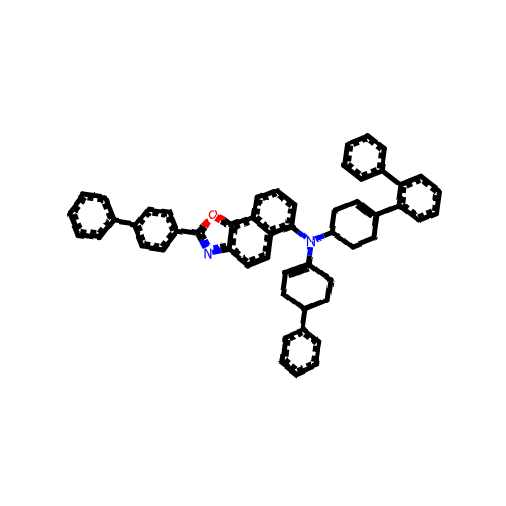 C1=C(c2ccccc2-c2ccccc2)CCC(N(C2=CCC(c3ccccc3)CC2)c2cccc3c2ccc2nc(-c4ccc(-c5ccccc5)cc4)oc23)C1